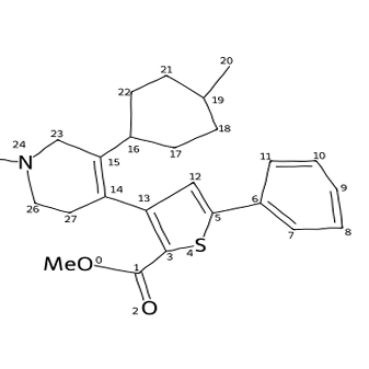 COC(=O)c1sc(-c2ccccc2)cc1C1=C(C2CCC(C)CC2)CN(C)CC1